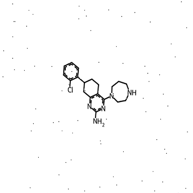 Nc1nc2c(c(N3CCCNCC3)n1)CCC(c1ccccc1Cl)C2